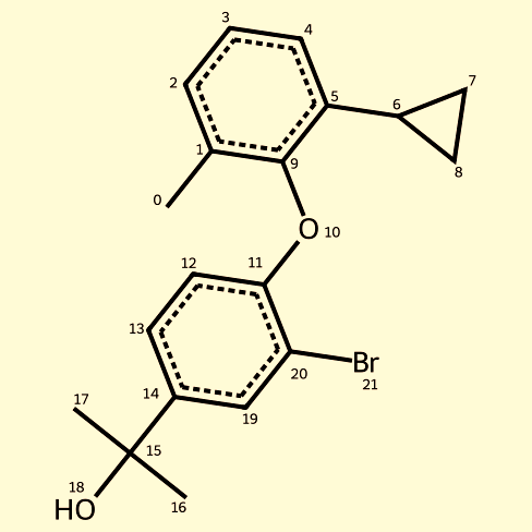 Cc1cccc(C2CC2)c1Oc1ccc(C(C)(C)O)cc1Br